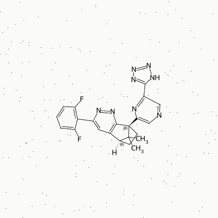 CC1(C)[C@H]2CC[C@@]1(c1cncc(-c3nnn[nH]3)n1)c1nnc(-c3c(F)cccc3F)cc12